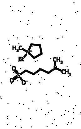 CC[N+]1(C)CCCC1.CN(C)CCCCS(=O)(=O)[O-]